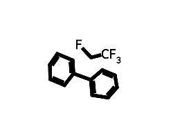 FCC(F)(F)F.c1ccc(-c2ccccc2)cc1